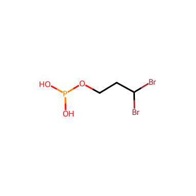 OP(O)OCCC(Br)Br